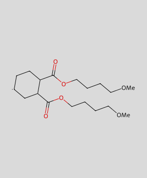 COCCCCOC(=O)C1C[CH]CCC1C(=O)OCCCCOC